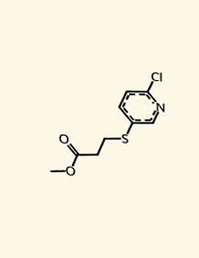 COC(=O)CCSc1ccc(Cl)nc1